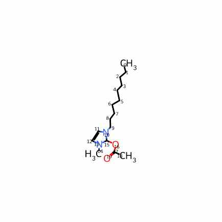 CCCCCCCCCCN1C=CN(C)C1OC(C)=O